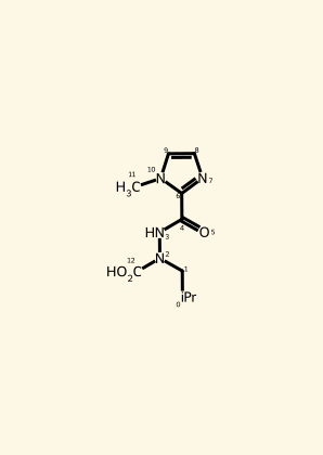 CC(C)CN(NC(=O)c1nccn1C)C(=O)O